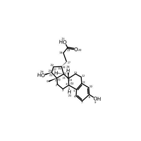 C[C@]12CC[C@@H]3c4ccc(O)cc4CC[C@H]3[C@@H]1[C@@H](CCC(=O)O)C[C@@H]2O